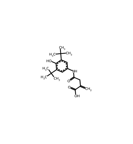 C=C(CC(=O)Nc1cc(C(C)(C)C)c(O)c(C(C)(C)C)c1)C(=O)O